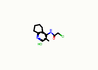 Cc1cnc2c(c1NC(=O)CCl)CCCC2.Cl